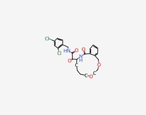 O=C(NCc1ccc(Cl)cc1Cl)C(=O)C1CCCCOCCOCc2ccccc2C(=O)N1